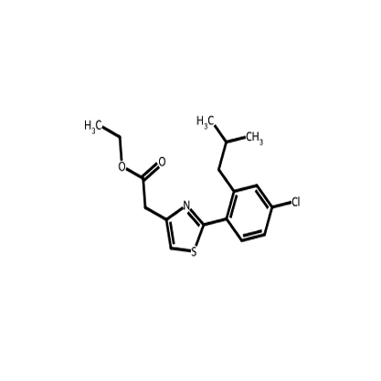 CCOC(=O)Cc1csc(-c2ccc(Cl)cc2CC(C)C)n1